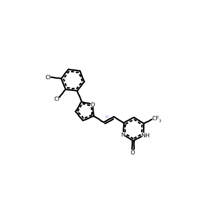 O=c1nc(/C=C/c2ccc(-c3cccc(Cl)c3Cl)o2)cc(C(F)(F)F)[nH]1